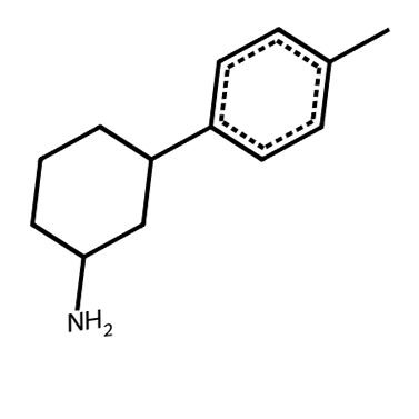 Cc1ccc(C2CCCC(N)C2)cc1